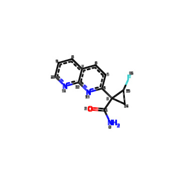 NC(=O)C1(c2ccc3cccnc3n2)CC1F